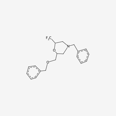 FC(F)(F)C1CN(Cc2ccccc2)CC(COCc2ccccc2)O1